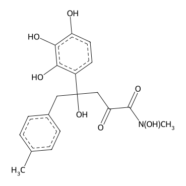 Cc1ccc(CC(O)(CC(=O)C(=O)N(C)O)c2ccc(O)c(O)c2O)cc1